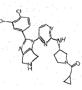 O=C(C1CC1)N1CC[C@@H](Nc2nccc(-n3c(-c4ccc(Cl)c(Cl)c4)nc4c3CNC4)n2)C1